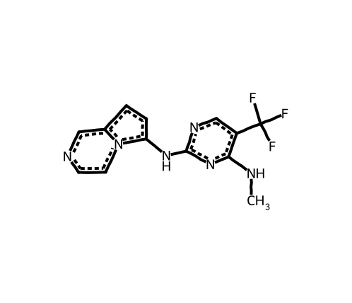 CNc1nc(Nc2ccc3cnccn23)ncc1C(F)(F)F